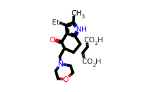 CCc1c(C)[nH]c2c1C(=O)C(CN1CCOCC1)CC2.O=C(O)CCC(=O)O